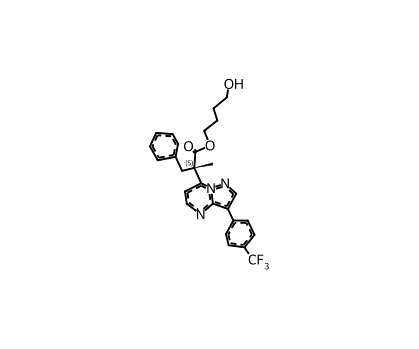 C[C@@](Cc1ccccc1)(C(=O)OCCCCO)c1ccnc2c(-c3ccc(C(F)(F)F)cc3)cnn12